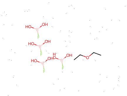 CCOCC.OB(O)F.OB(O)F.OB(O)F.OB(O)F